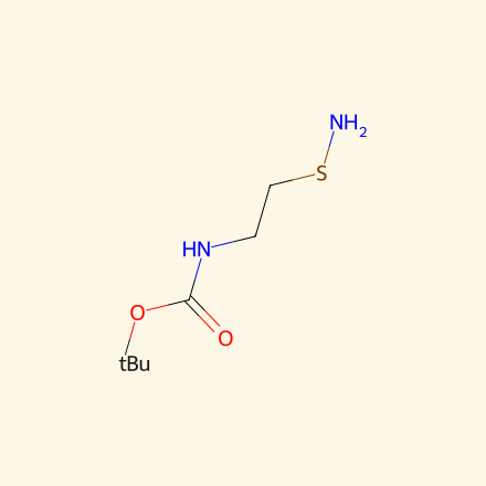 CC(C)(C)OC(=O)NCCSN